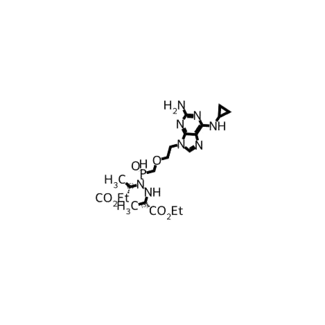 CCOC(=O)[C@H](C)NN([C@@H](C)C(=O)OCC)[PH](=O)COCCn1cnc2c(NC3CC3)nc(N)nc21